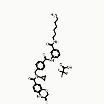 NCCCCCCNC(=O)c1cccc(NC(=O)c2ccc(CN(C(=O)c3ccc4c(c3)OCC(=O)N4)C3CC3)cc2)c1.O=C(O)C(F)(F)F